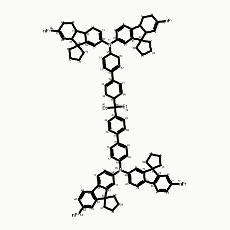 CCCC1=CC2C(CC1)c1ccc(N(C3=CCC4C(=C3)C3(CCCC3)C3C=C(CCC)CCC43)C3C=CC(C4=CCC(C(CC)(CC)c5ccc(-c6ccc(N(c7ccc8c(c7)C7(CCCC7)c7cc(CCC)ccc7-8)c7ccc8c(c7)C7(CCCC7)c7cc(CCC)ccc7-8)cc6)cc5)C=C4)=CC3)cc1C21CCCC1